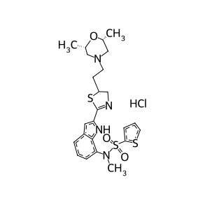 C[C@@H]1CN(CCC2CN=C(c3cc4cccc(N(C)S(=O)(=O)c5cccs5)c4[nH]3)S2)C[C@H](C)O1.Cl